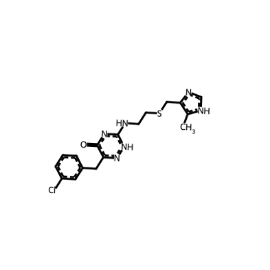 Cc1[nH]cnc1CSCCNc1nc(=O)c(Cc2cccc(Cl)c2)n[nH]1